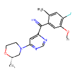 Cc1cc(F)c(OC(C)C)cc1C(=N)c1cc(N2CCO[C@@H](C)C2)ncn1